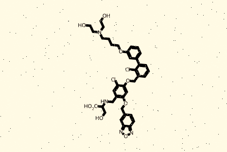 O=C(O)C(CO)NCc1cc(Cl)c(OCc2cccc(-c3cccc(OCCCCN(CCO)CCO)c3)c2Cl)cc1OCc1ccc2nonc2c1